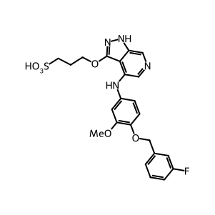 COc1cc(Nc2cncc3[nH]nc(OCCCS(=O)(=O)O)c23)ccc1OCc1cccc(F)c1